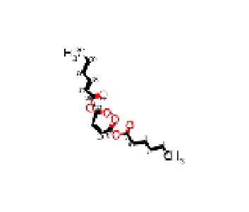 CC=CC=CC(=O)OC(=O)/C=C\C(=O)OC(=O)C=CC=CC